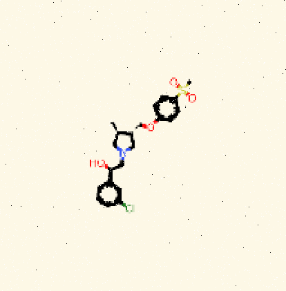 C[C@@H]1CN(CC(O)c2cccc(Cl)c2)C[C@H]1COc1ccc(S(C)(=O)=O)cc1